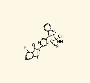 CC1(c2nc3ccccc3n2-c2cnc(NC(=O)c3c(F)cccc3F)cn2)NN=CO1